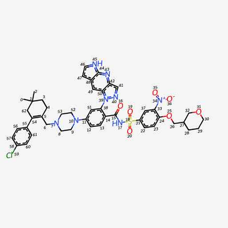 CC1(C)CCC(CN2CCN(c3ccc(C(=O)NS(=O)(=O)c4ccc(OCC5CCCOC5)c([N+](=O)[O-])c4)c(-n4ncc5nc6[nH]ccc6cc54)c3)CC2)=C(c2ccc(Cl)cc2)C1